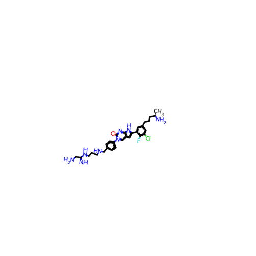 C[C@H](N)CCCc1cc(Cl)c(F)c(-c2cc3cn(-c4ccc(CNCCCNC(=N)CN)cc4)c(=O)nc3[nH]2)c1